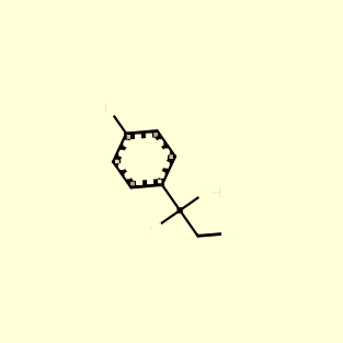 CC(C)(C[O])c1ccc(F)cc1